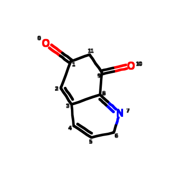 O=C1C=C2C=CCN=C2C(=O)C1